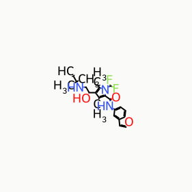 C#CC(C)(C)NCC(O)c1c(C)c(C(=O)Nc2ccc3occc3c2)n(C(F)F)c1C